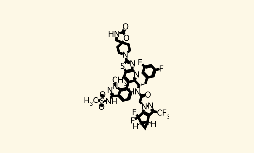 Cn1nc(NS(C)(=O)=O)c2cccc(-c3cc4sc(N5CCC6(CC5)CNC(=O)O6)nc4nc3[C@H](Cc3cc(F)cc(F)c3)NC(=O)Cn3nc(C(F)(F)F)c4c3C(F)(F)[C@@H]3C[C@H]43)c21